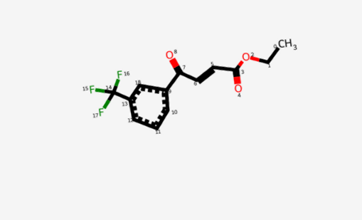 CCOC(=O)/C=C/C(=O)c1cccc(C(F)(F)F)c1